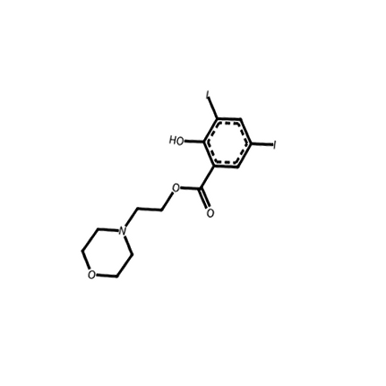 O=C(OCCN1CCOCC1)c1cc(I)cc(I)c1O